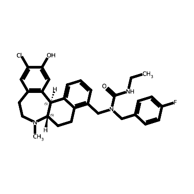 CCNC(=O)N(Cc1ccc(F)cc1)Cc1cccc2c1CC[C@H]1[C@H]2c2cc(O)c(Cl)cc2CCN1C